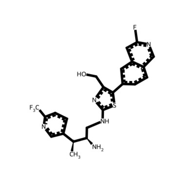 C[C@@H](c1ccc(C(F)(F)F)nc1)[C@H](N)CNc1nc(CO)c(-c2ccc3cnc(F)cc3c2)s1